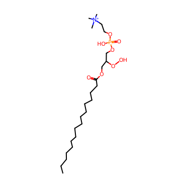 CCCCCCCCCCCCCCCC(=O)OCC(COP(=O)(O)OCC[N+](C)(C)C)OO